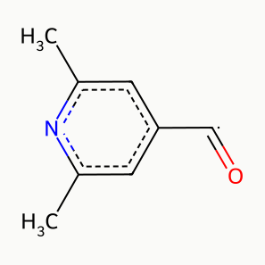 Cc1cc([C]=O)cc(C)n1